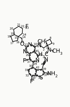 CN(CC1(N(C)C)CCC1)c1nc(OC[C@@]23CCCC2CC[C@H](F)C3)nc2c(F)c(-c3ccc(F)c4sc(N)c(C#N)c34)ncc12